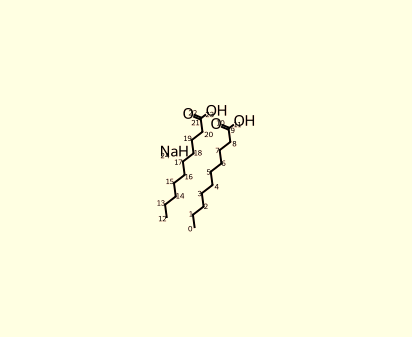 CCCCCCCCCC(=O)O.CCCCCCCCCC(=O)O.[NaH]